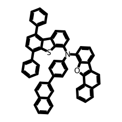 c1ccc(-c2ccc(-c3ccccc3)c3c2sc2c(N(c4ccc(-c5ccc6ccccc6c5)cc4)c4cccc5c4oc4c6ccccc6ccc54)cccc23)cc1